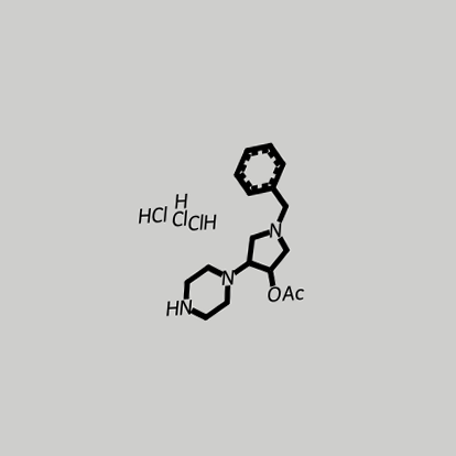 CC(=O)OC1CN(Cc2ccccc2)CC1N1CCNCC1.Cl.Cl.Cl